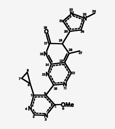 COc1ncnc(C2CC2)c1-c1ncc2c(n1)=NC(=O)C(c1cnn(C)c1)C=2C